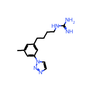 Cc1cc(CCCCNC(=N)N)cc(-n2ccnn2)c1